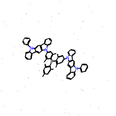 Cc1cc(C)c(B(c2c(C)cc(-n3c4ccccc4c4cc5c(cc43)c3ccccc3n5-c3ccccc3)cc2C)c2c(C)cc(-n3c4ccccc4c4cc5c(cc43)c3ccccc3n5-c3ccccc3)cc2C)c(C)c1